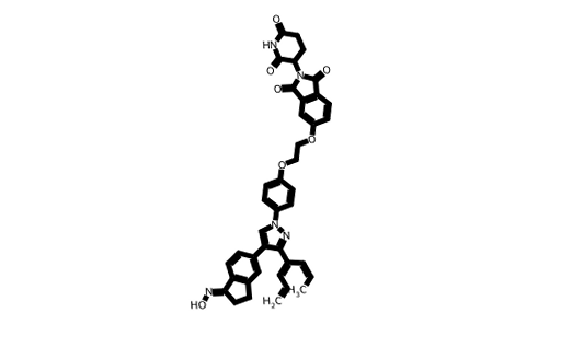 C=C/C=C(\C=C/C)c1nn(-c2ccc(OCCOc3ccc4c(c3)C(=O)N(C3CCC(=O)NC3=O)C4=O)cc2)cc1-c1ccc2c(c1)CC/C2=N\O